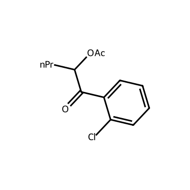 CCCC(OC(C)=O)C(=O)c1ccccc1Cl